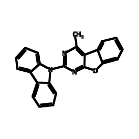 Cc1nc(-n2c3ccccc3c3ccccc32)nc2oc3ccccc3c12